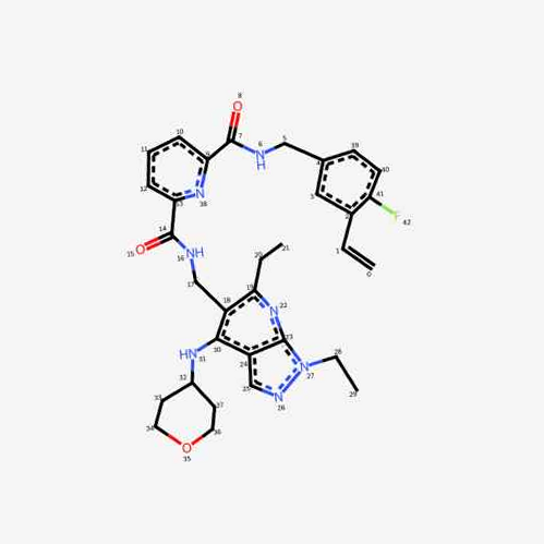 C=Cc1cc(CNC(=O)c2cccc(C(=O)NCc3c(CC)nc4c(cnn4CC)c3NC3CCOCC3)n2)ccc1F